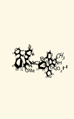 CN1NC(C(=O)O)=C2C1=c1nccc(Br)c1=NC2(C)C(c1ccccc1)C1CCOCC1.COC(=O)c1nn(C)c2c3ncc(Br)cc3n(C(c3ccccc3)C3CCOCC3)c12